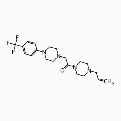 C=CCN1CCN(C(=O)CN2CCN(c3ccc(C(F)(F)F)cc3)CC2)CC1